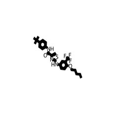 CCCCCOc1ccc(Nc2nc(C(=O)Nc3ccc(C(C)(C)C)cc3)cs2)cc1C(F)(F)F